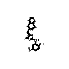 Cc1ccc(N=O)cc1NC1=NC(=O)/C(=C/c2ccc3ncccc3c2)S1